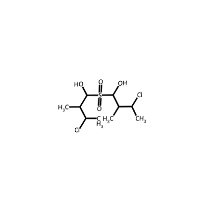 CC(Cl)C(C)C(O)S(=O)(=O)C(O)C(C)C(C)Cl